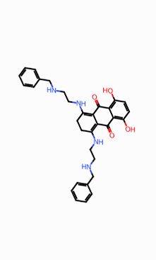 O=C1C2=C(NCCNCc3ccccc3)CCC(NCCNCc3ccccc3)=C2C(=O)c2c(O)ccc(O)c21